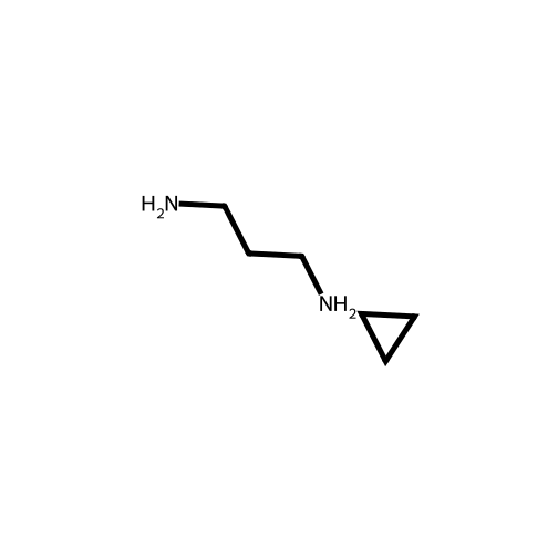 C1CC1.NCCCN